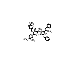 CCCC[C@@H](NC(=O)[C@@H](Cc1ccccc1)NC(=O)[C@H](N)Cc1ccccc1)C(=O)N[C@H](Cc1cnc(N)nc1)C(=O)N1CCC(N)(C(=O)O)C1